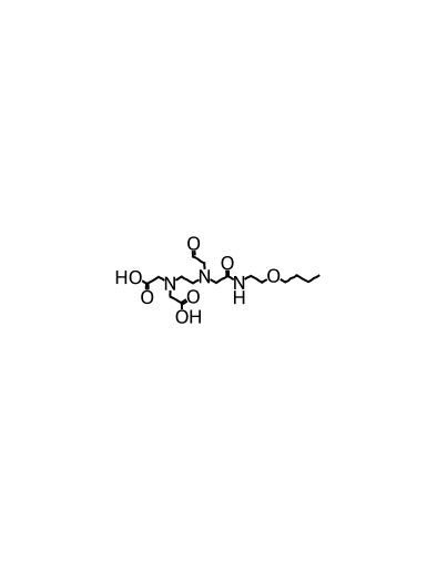 CCCCOCCNC(=O)CN(CC=O)CCN(CC(=O)O)CC(=O)O